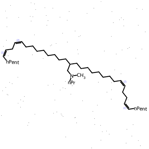 CCCCC/C=C\C/C=C\CCCCCCCCC(CCCCCCCC/C=C\CC/C=C\CCCCC)CN(C)CCC